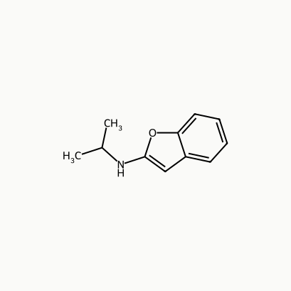 CC(C)Nc1cc2ccccc2o1